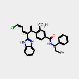 C=C(/C(=C\C=C/Cl)c1nc2ccccc2[nH]1)c1ccc(C(=O)N[C@H](CC(C)C)c2ccccc2)cc1C(=O)O